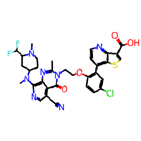 Cc1nc2c(N(C)C3CCN(C)C(C(F)F)C3)ncc(C#N)c2c(=O)n1CCOc1ccc(Cl)cc1-c1ccnc2c(C(=O)O)csc12